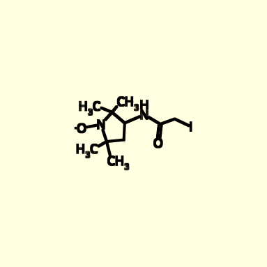 CC1(C)CC(NC(=O)CI)C(C)(C)N1[O]